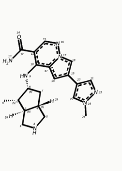 C[C@H]1[C@@H]2CNC[C@H]2C[C@H]1Nc1c(C(N)=O)cnn2cc(-c3cnn(C)c3)cc12